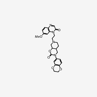 COc1ccc2ncc(=O)n(CCN3CCC4CN(c5ccc6c(c5)OCCO6)C(=O)OC4C3)c2c1